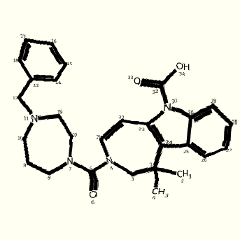 CC1(C)CN(C(=O)N2CCCN(Cc3ccccc3)CC2)C=Cc2c1c1ccccc1n2C(=O)O